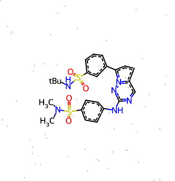 CN(C)S(=O)(=O)c1ccc(Nc2ncc3ccc(-c4cccc(S(=O)(=O)NC(C)(C)C)c4)n3n2)cc1